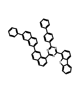 c1ccc(-c2ccc(-c3nc(-c4cccc5ccc(-c6ccc7ccc(-c8ccccc8)cc7c6)cc45)nc(-c4cccc5c4sc4ccccc45)n3)cc2)cc1